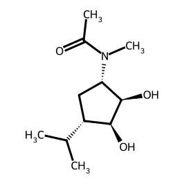 CC(=O)N(C)[C@H]1C[C@@H](C(C)C)[C@H](O)[C@@H]1O